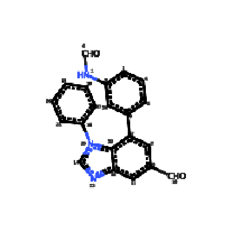 O=CNc1cccc(-c2cc(C=O)cc3ncn(-c4ccccc4)c23)c1